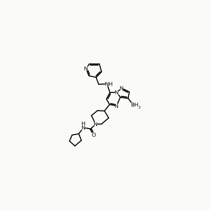 Bc1cnn2c(NCc3cccnc3)cc(C3CCN(C(=O)NC4CCCC4)CC3)nc12